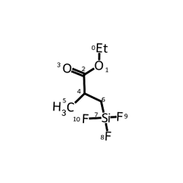 CCOC(=O)C(C)C[Si](F)(F)F